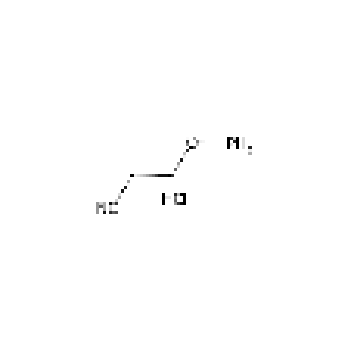 Cl.N#CCCOP